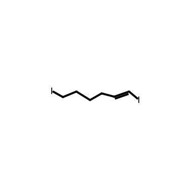 IC=CCCCCI